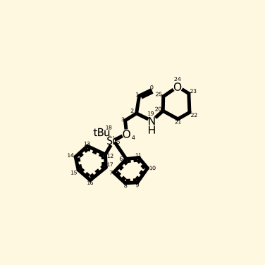 C=CC(CO[Si](c1ccccc1)(c1ccccc1)C(C)(C)C)NC1CCCOC1